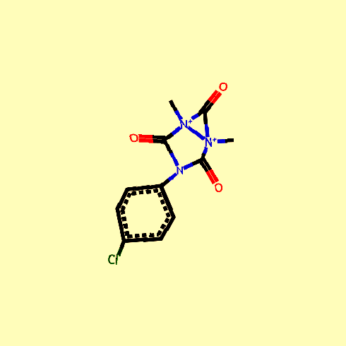 C[N+]12C(=O)N(c3ccc(Cl)cc3)C(=O)[N+]1(C)C2=O